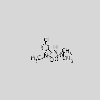 CCN1C(=O)C(NC(=O)N(C)C)c2cc(Cl)ccc21